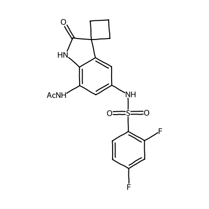 CC(=O)Nc1cc(NS(=O)(=O)c2ccc(F)cc2F)cc2c1NC(=O)C21CCC1